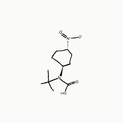 CC(C)(C)N(C(=O)O)[C@H]1CC[C@H]([N+](=O)[O-])CC1